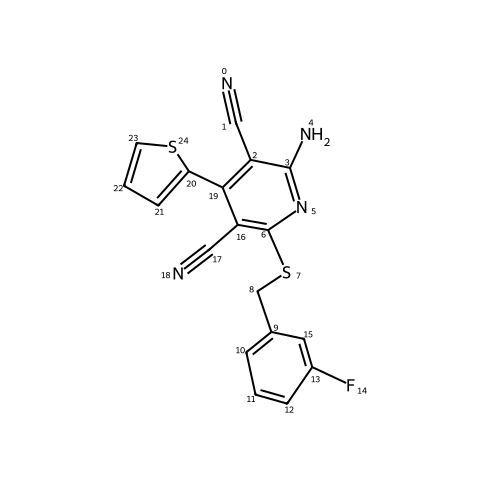 N#Cc1c(N)nc(SCc2cccc(F)c2)c(C#N)c1-c1cccs1